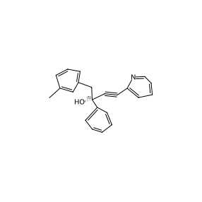 Cc1cccc(C[C@@](O)(C#Cc2ccccn2)c2ccccc2)c1